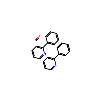 C=O.c1ccc(-c2ccccn2)cc1.c1ccc(-c2ccccn2)cc1